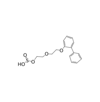 O=S(O)OCCOCCOc1ccccc1-c1ccccc1